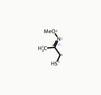 CO/N=C(\C)CS